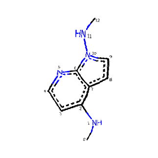 CNc1ccnc2c1ccn2NC